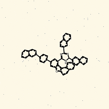 c1ccc2cc(C3=NC(c4ccc5ccccc5c4)NC(c4cc(-c5ccc(-c6ccc7ccccc7c6)cc5)cc5oc6ccc7ccccc7c6c45)=N3)ccc2c1